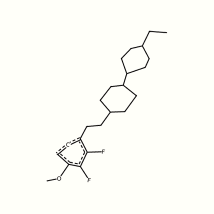 CCC1CCC(C2CCC(CCc3ccc(OC)c(F)c3F)CC2)CC1